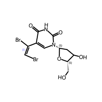 O=c1[nH]c(=O)n([C@@H]2CC(O)[C@H](CO)O2)cc1/C(Br)=C\Br